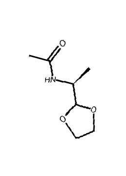 CC(=O)N[C@@H](C)C1OCCO1